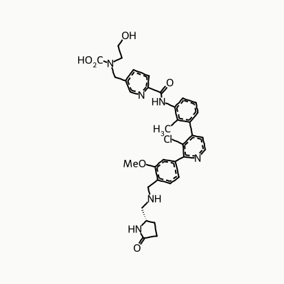 COc1cc(-c2nccc(-c3cccc(NC(=O)c4ccc(CN(CCO)C(=O)O)cn4)c3C)c2Cl)ccc1CNC[C@@H]1CCC(=O)N1